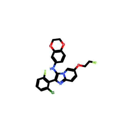 FCCOc1ccc2nc(-c3c(F)cccc3Cl)c(Nc3ccc4c(c3)OCCO4)n2c1